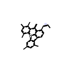 C=c1c2c(C)c(C)cc(C)c2n2c3cc(C)cc(C)c3c3ccc(/C=C\C)c1c32